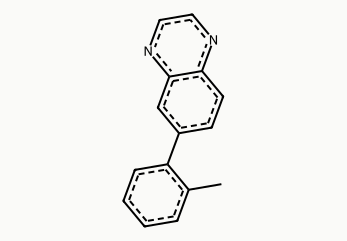 Cc1ccccc1-c1ccc2nccnc2c1